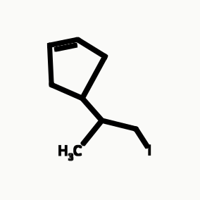 CC(CI)C1CC=CC1